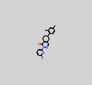 Cc1ccc(C2CCc3c(cnn(-c4cccc(F)n4)c3=O)C2)c(C)c1